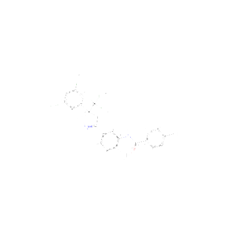 Cc1ccc(C(=O)Nc2cc(C3=NOC(c4cc(Cl)cc(Cl)c4)(C(F)(F)F)C3)ccc2C)cc1